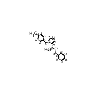 Cc1ccc(Cn2cncc2C(O)CCc2ccccc2)cc1